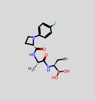 CC(C)C[C@H](NC(=O)[C@H](C)NC(=O)[C@@H]1CCN1c1ccc(F)cc1)B(O)O